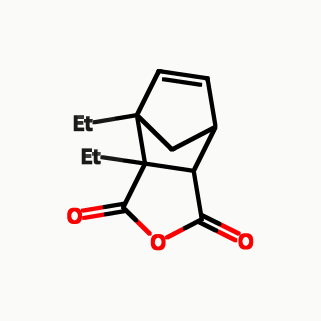 CCC12C=CC(C1)C1C(=O)OC(=O)C12CC